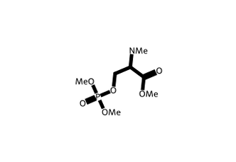 CNC(COP(=O)(OC)OC)C(=O)OC